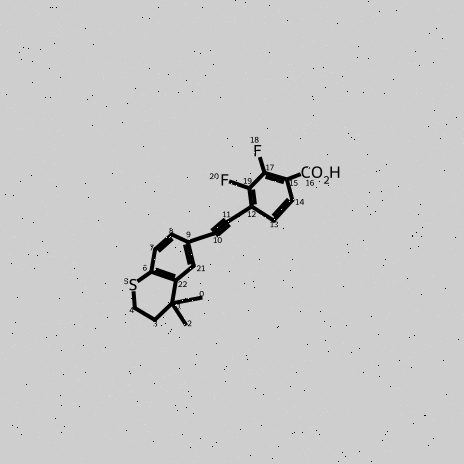 CC1(C)CCSc2ccc(C#Cc3ccc(C(=O)O)c(F)c3F)cc21